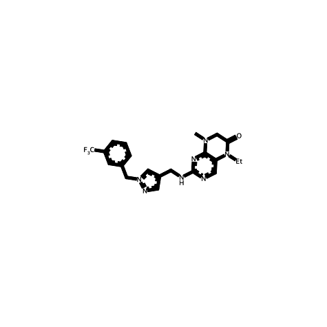 CCN1C(=O)CN(C)c2nc(NCc3cnn(Cc4cccc(C(F)(F)F)c4)c3)ncc21